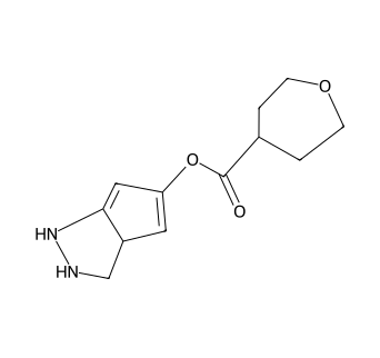 O=C(OC1=CC2CNNC2=C1)C1CCOCC1